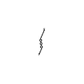 FCCCCCCCCCCC1CCC(C2CCC(C3CCC(CCCCCCF)CC3)CC2)CC1